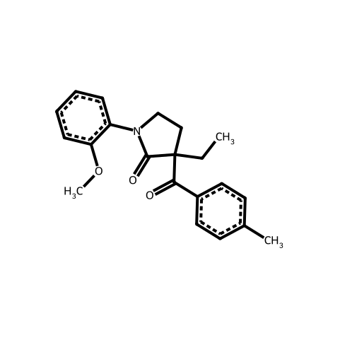 CCC1(C(=O)c2ccc(C)cc2)CCN(c2ccccc2OC)C1=O